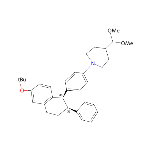 COC(OC)C1CCN(c2ccc([C@@H]3c4ccc(OC(C)(C)C)cc4CC[C@@H]3c3ccccc3)cc2)CC1